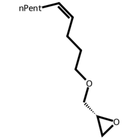 CCCCC/C=C\CCCOC[C@H]1CO1